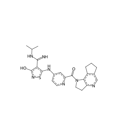 CC(C)NC(=N)c1c(O)nsc1Nc1ccnc(C(=O)N2CCc3ncc4c(c32)CCC4)c1